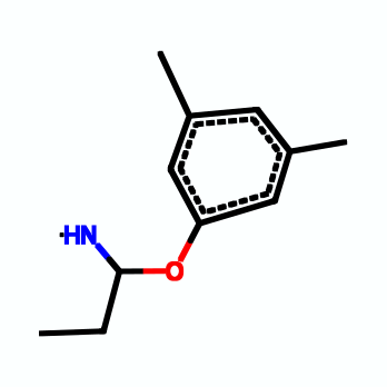 CCC([NH])Oc1cc(C)cc(C)c1